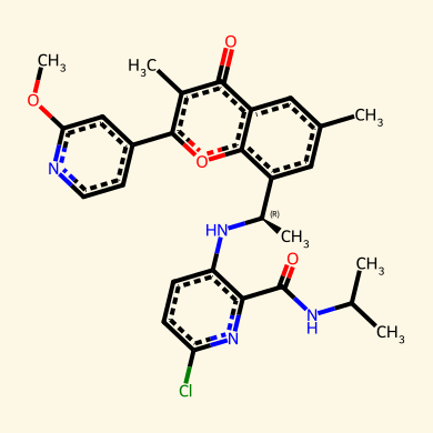 COc1cc(-c2oc3c([C@@H](C)Nc4ccc(Cl)nc4C(=O)NC(C)C)cc(C)cc3c(=O)c2C)ccn1